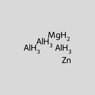 [AlH3].[AlH3].[AlH3].[MgH2].[Zn]